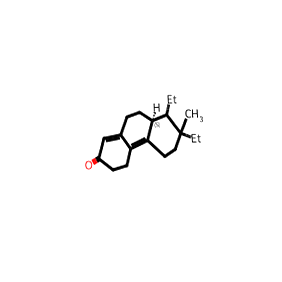 CCC1[C@@H]2CCC3=CC(=O)CCC3=C2CCC1(C)CC